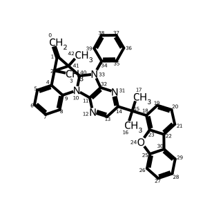 C=C1C2(C)c3ccccc3N3c4ncc(C(C)(C)c5cccc6c5oc5ccccc56)nc4N(c4ccccc4)C3C12C